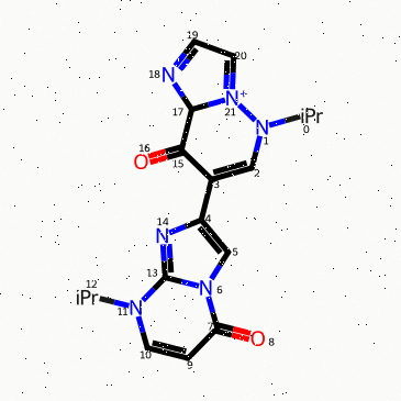 CC(C)N1C=C(c2cn3c(=O)ccn(C(C)C)c3n2)C(=O)C2N=CC=[N+]21